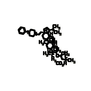 C=C(C)[C@@H]1CC[C@]2(CCN3CCN(c4ccccc4)CC3)CC[C@]3(C)[C@H](CC[C@@H]4[C@@]5(C)CC[C@H](OC(=O)CC(C)(C)C(=O)O)C(C)(C)[C@@H]5CC[C@]43C)[C@@H]12